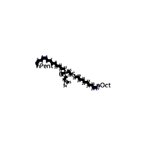 CCCCC/C=C\C/C=C\CCCCCCCCN(CCSCCCCCCCC/C=C\CCCCCCCC)[S+]([O-])CCN(C)C